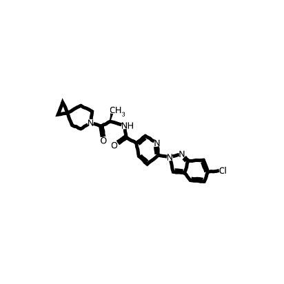 C[C@@H](NC(=O)c1ccc(-n2cc3ccc(Cl)cc3n2)nc1)C(=O)N1CCC2(CC1)CC2